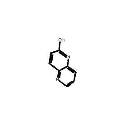 Oc1ccc2ncccc2n1